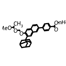 CCCCCCOC(=O)c1ccc(-c2ccc3cc(OCOC(C)OC)c(C45CC6CC(CC(C6)C4)C5)cc3c2)cc1